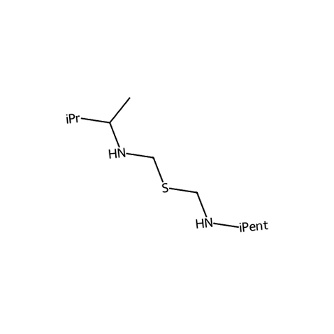 CCCC(C)NCSCNC(C)C(C)C